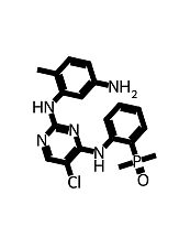 Cc1ccc(N)cc1Nc1ncc(Cl)c(Nc2ccccc2P(C)(C)=O)n1